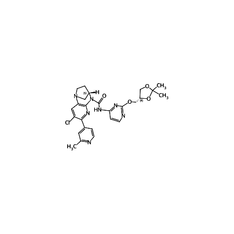 Cc1cc(-c2nc3c(cc2Cl)N2CC[C@@H](C2)N3C(=O)Nc2ccnc(OC[C@@H]3COC(C)(C)O3)n2)ccn1